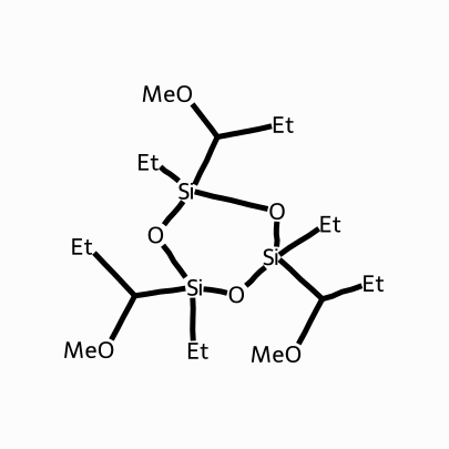 CCC(OC)[Si]1(CC)O[Si](CC)(C(CC)OC)O[Si](CC)(C(CC)OC)O1